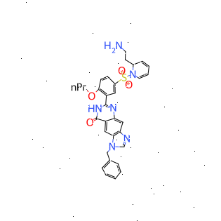 CCCOc1ccc(S(=O)(=O)N2C=CC=CC2CCN)cc1-c1nc2cc3ncn(Cc4ccccc4)c3cc2c(=O)[nH]1